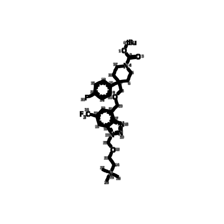 CC(C)(C)OC(=O)N1CCC(COCc2cc(C(F)(F)F)cc3c2nnn3COCC[Si](C)(C)C)(c2ccc(F)cc2)CC1